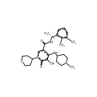 Cc1c([C@@H](C)NC(=O)c2cn(C3CCOCC3)c(=O)c(C#N)c2NC2CCN(C)CC2)cccc1C(F)(F)F